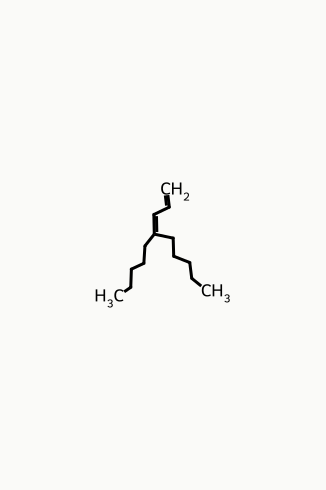 C=CC=C(CCCCC)CCCCC